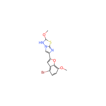 COc1ccc(Br)c2cc(-c3cn4c(n3)SC(OC)N4)oc12